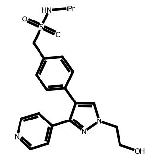 CC(C)NS(=O)(=O)Cc1ccc(-c2cn(CCO)nc2-c2ccncc2)cc1